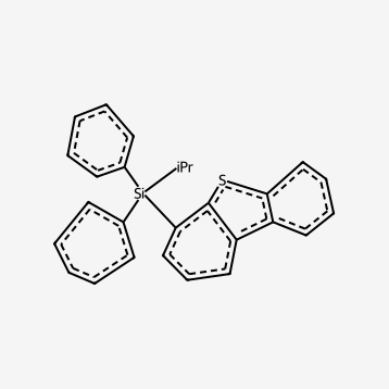 CC(C)[Si](c1ccccc1)(c1ccccc1)c1cccc2c1sc1ccccc12